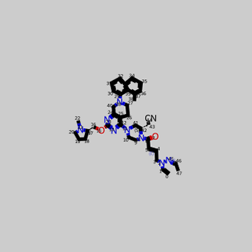 C=CN(C/C=C/C(=O)N1CCN(c2nc(OC[C@@H]3CCCN3C)nc3c2CCN(c2cccc4cccc(C)c24)C3)C[C@@H]1CC#N)/N=C\C